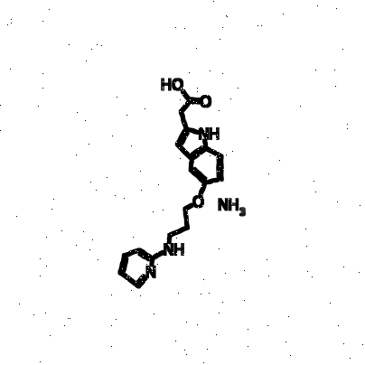 N.O=C(O)Cc1cc2cc(OCCCNc3ccccn3)ccc2[nH]1